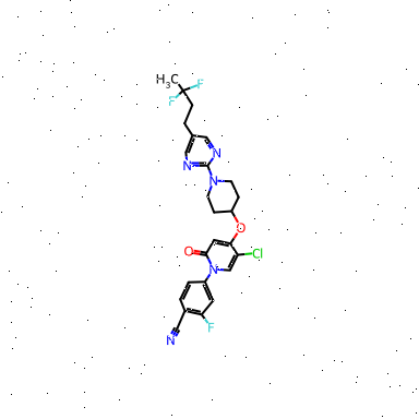 CC(F)(F)CCc1cnc(N2CCC(Oc3cc(=O)n(-c4ccc(C#N)c(F)c4)cc3Cl)CC2)nc1